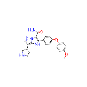 COc1ccc(Oc2ccc(-c3[nH]c4c(C5CCNC5)cnn4c3C(N)=O)cc2)cc1